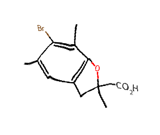 Cc1cc2c(c(C)c1Br)OC(C)(C(=O)O)C2